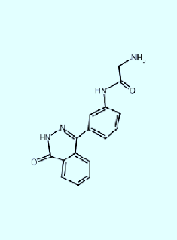 NCC(=O)Nc1cccc(-c2n[nH]c(=O)c3ccccc23)c1